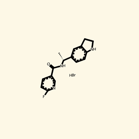 Br.C[C@@H](NC(=O)c1ccc(F)nc1)c1ccc2c(c1)CCN2